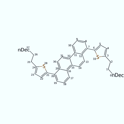 CCCCCCCCCCCCc1ccc(-c2cccc3c2ccc2c4cccc(-c5ccc(CCCCCCCCCCCC)s5)c4ccc32)s1